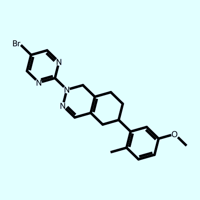 COc1ccc(C)c(C2CCC3=C(C=NN(c4ncc(Br)cn4)C3)C2)c1